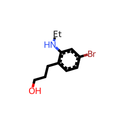 CCNc1cc(Br)ccc1CCCO